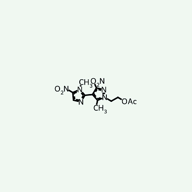 CC(=O)OCCn1nc([N+](=O)[O-])c(-c2ncc([N+](=O)[O-])n2C)c1C